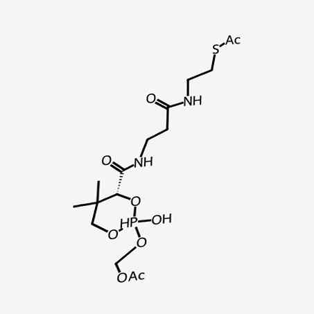 CC(=O)OCO[PH]1(O)OCC(C)(C)[C@H](C(=O)NCCC(=O)NCCSC(C)=O)O1